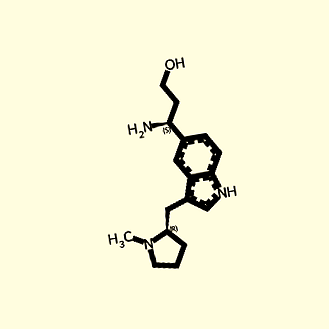 CN1CCC[C@@H]1Cc1c[nH]c2ccc([C@@H](N)CCO)cc12